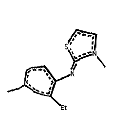 CCc1cc(C)ccc1N=c1sccn1C